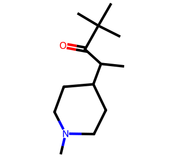 CC(C(=O)C(C)(C)C)C1CCN(C)CC1